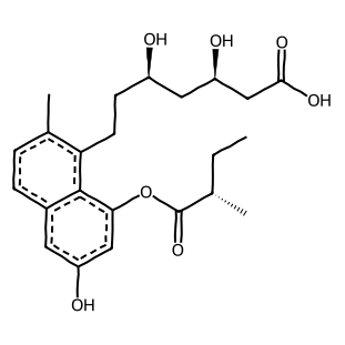 CC[C@H](C)C(=O)Oc1cc(O)cc2ccc(C)c(CC[C@@H](O)C[C@@H](O)CC(=O)O)c12